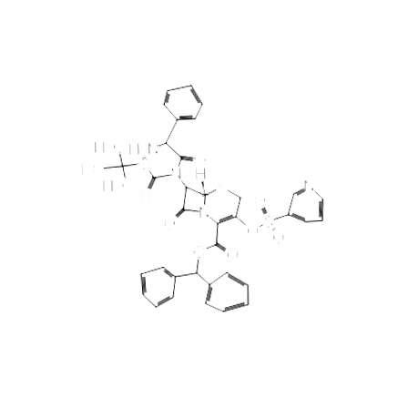 CC(C)(C)OC(=O)N(C(=O)C(N)c1ccccc1)C1C(=O)N2C(C(=O)OC(c3ccccc3)c3ccccc3)=C(OS(=O)(=O)c3cccnc3)CS[C@@H]12